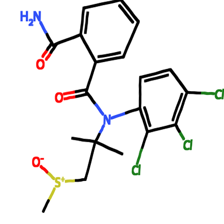 C[S+]([O-])CC(C)(C)N(C(=O)c1ccccc1C(N)=O)c1ccc(Cl)c(Cl)c1Cl